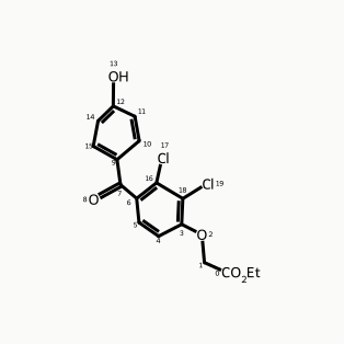 CCOC(=O)COc1ccc(C(=O)c2ccc(O)cc2)c(Cl)c1Cl